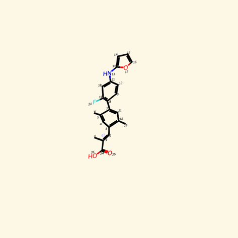 C/C(=C\c1cc(C)c(-c2ccc(Nc3ccco3)cc2F)cc1C)C(=O)O